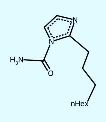 CCCCCCCCCc1nccn1C(N)=O